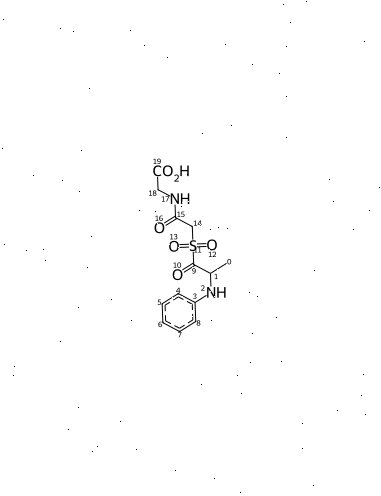 CC(Nc1ccccc1)C(=O)S(=O)(=O)CC(=O)NCC(=O)O